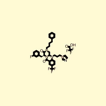 O=C(O)C(F)(F)F.O=C1[C@H](Cc2cccc(F)c2)N2C(=O)c3cc(C(F)(F)F)ccc3N(CCCn3ccnc3)C2CN1CCCCc1ccccc1